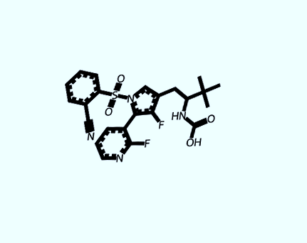 CC(C)(C)C(Cc1cn(S(=O)(=O)c2ccccc2C#N)c(-c2cccnc2F)c1F)NC(=O)O